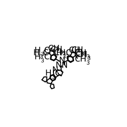 C\C1=C/C=C(c2nc(-c3ccc4c(c3)C(C)(C)C(C)(C)C4(C)C)nc(-c3ccc4c(c3)C(C)(C)C(C)(C)C4(C)C)n2)\C=N\Cc2cc3c(cc21)C1(CCCC1)CC31CCCC1